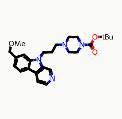 COCc1ccc2c3ccncc3n(CCCN3CCN(C(=O)OC(C)(C)C)CC3)c2c1